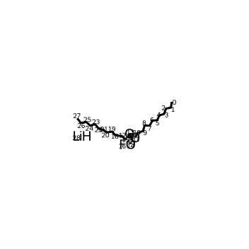 CCCCCCCCCCCOS(=O)(=O)C(F)CCCCCCCCCCC.[LiH]